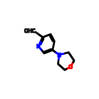 O=Cc1ccc(N2CCOCC2)cn1